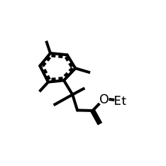 C=C(CC(C)(C)c1c(C)cc(C)cc1C)OCC